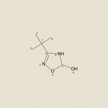 CC(C)(C)C1=NOC(O)N1